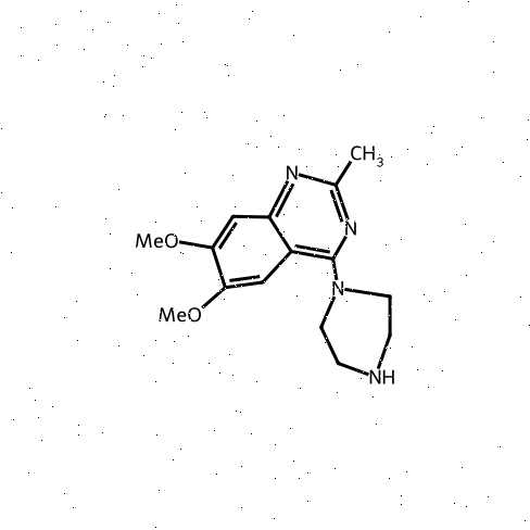 COc1cc2nc(C)nc(N3CCNCC3)c2cc1OC